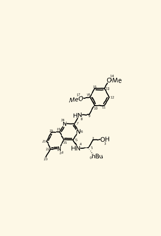 CCCC[C@@H](CO)Nc1nc(NCc2ccc(OC)cc2OC)nc2ccc(C)nc12